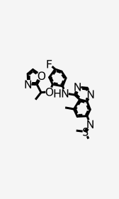 Cc1cc(N=S(C)C)cc2ncnc(Nc3ccc(F)cc3OC(C)c3ncco3)c12